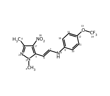 Cc1nn(C)c(C=CNc2ccc(OC(F)(F)F)cc2)c1[N+](=O)[O-]